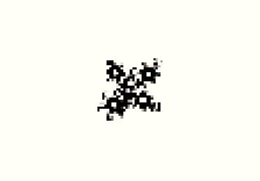 Cc1ccc(SC2(C(=O)Oc3c(F)c(F)c(F)c(F)c3F)CC(=O)N(Cc3ccc(Br)cc3)[C@H]2c2c[nH]c3cc(Cl)ccc23)cc1